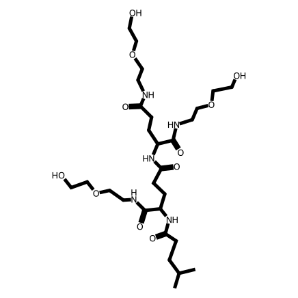 CC(C)CCC(=O)NC(CCC(=O)NC(CCC(=O)NCCOCCO)C(=O)NCCOCCO)C(=O)NCCOCCO